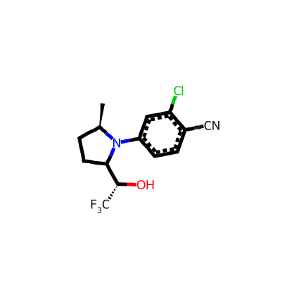 C[C@@H]1CCC([C@H](O)C(F)(F)F)N1c1ccc(C#N)c(Cl)c1